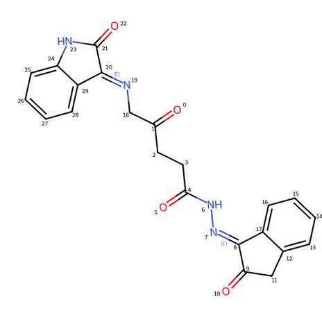 O=C(CCC(=O)N/N=C1/C(=O)Cc2ccccc21)C/N=C1/C(=O)Nc2ccccc21